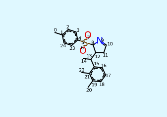 Cc1ccc(S(=O)(=O)C2N=CCC2C(C)c2cccc(C)c2C)cc1